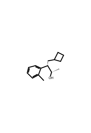 Cc1ccccc1[C@H](CC1CCC1)[C@H](C)O